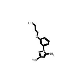 CC(C)(C)c1cc(N)n(-c2cccc(OCCCO)c2)n1